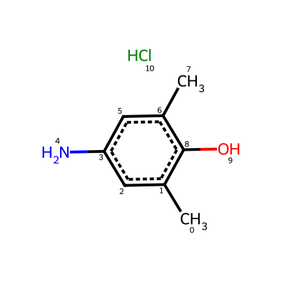 Cc1cc(N)cc(C)c1O.Cl